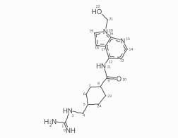 N=C(N)NCC1CCC(C(=O)Nc2ccnc3c2ccn3CO)CC1